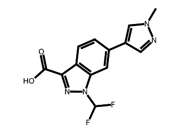 Cn1cc(-c2ccc3c(C(=O)O)nn(C(F)F)c3c2)cn1